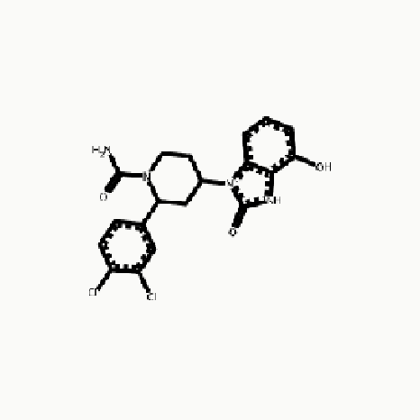 NC(=O)N1CCC(n2c(=O)[nH]c3c(O)cccc32)CC1c1ccc(Cl)c(Cl)c1